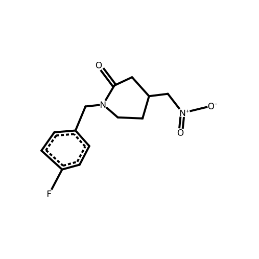 O=C1CC(C[N+](=O)[O-])CCN1Cc1ccc(F)cc1